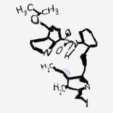 C=C/C=c1/c(C#Cc2ccccc2NS(=O)(=O)c2ccc(OC(C)C)c3cccnc23)cnc(CI)c1=C